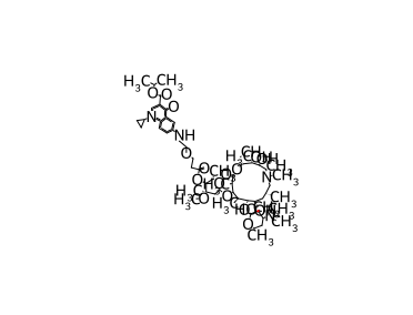 CC[C@H]1OC(=O)[C@H](C)[C@@H](O[C@H]2C[C@@](C)(OC)[C@@H](OC(=O)CCOCCNc3ccc4c(c3)c(=O)c(C(=O)OC(C)C)cn4C3CC3)[C@H](C)O2)[C@H](C)[C@@H](O[C@@H]2O[C@H](C)C[C@H](N(C)C)[C@@H]2O)[C@](C)(O)C[C@@H](C)CN(C)[C@H](C)[C@@H](O)[C@]1(C)O